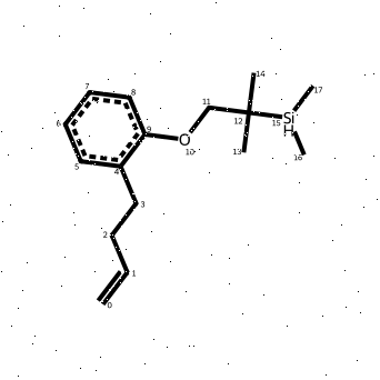 C=CCCc1ccccc1OCC(C)(C)[SiH](C)C